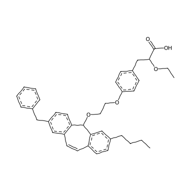 CCCCc1ccc2c(c1)C(OCCOc1ccc(CC(OCC)C(=O)O)cc1)c1ccc(Cc3ccccc3)cc1C=C2